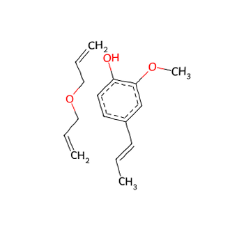 C=CCOCC=C.CC=Cc1ccc(O)c(OC)c1